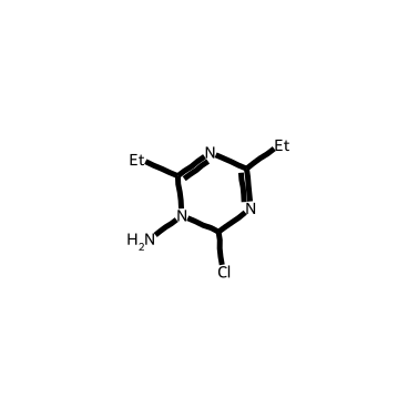 CCC1=NC(Cl)N(N)C(CC)=N1